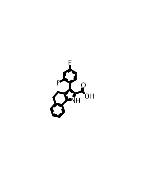 O=C(O)c1[nH]c2c(c1-c1ccc(F)cc1F)CCc1ccccc1-2